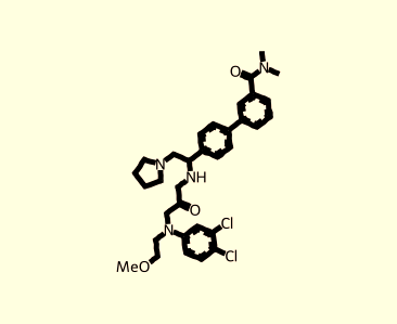 COCCN(CC(=O)CNC(CN1CCCC1)c1ccc(-c2cccc(C(=O)N(C)C)c2)cc1)c1ccc(Cl)c(Cl)c1